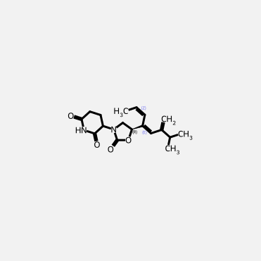 C=C(/C=C(\C=C/C)[C@@H]1CN(C2CCC(=O)NC2=O)C(=O)O1)C(C)C